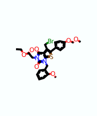 CCOC(=O)Cn1c(=O)c2c(CBr)c(-c3ccc(OCOC)cc3)sc2n(Cc2ccccc2OC)c1=O